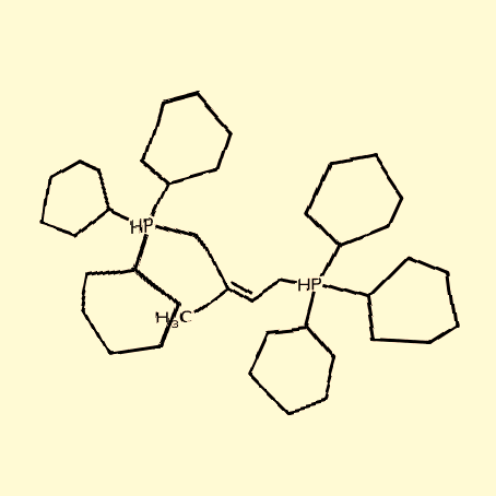 CC(=CC[PH](C1CCCCC1)(C1CCCCC1)C1CCCCC1)C[PH](C1CCCCC1)(C1CCCCC1)C1CCCCC1